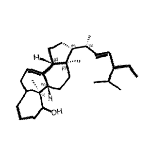 CCC(C=C[C@@H](C)[C@H]1CC[C@H]2C3=CCC4CCCC(O)[C@]4(C)[C@H]3CC[C@]12C)C(C)C